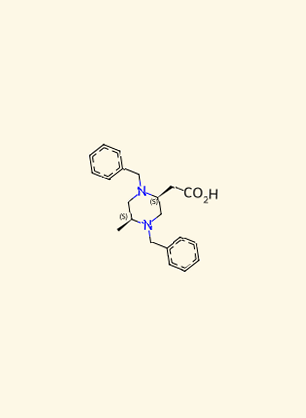 C[C@H]1CN(Cc2ccccc2)[C@@H](CC(=O)O)CN1Cc1ccccc1